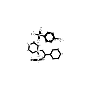 C[N+]1(CC(N=C=N)C2CCCCC2)CCOCC1.Cc1ccc(S(=O)(=O)O)cc1